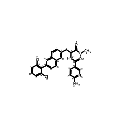 COC(=O)C(Cc1ccc2nc(-c3c(Cl)cccc3Cl)ccc2c1)NC(=O)c1ccc(N)nc1